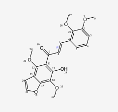 COc1cccc(/C=C/C(=O)c2c(O)c(OC)c3occc3c2OC)c1OC